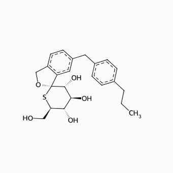 CCCc1ccc(Cc2ccc3c(c2)[C@]2(OC3)S[C@H](CO)[C@@H](O)[C@H](O)[C@H]2O)cc1